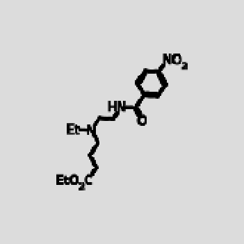 CCOC(=O)CCCN(CC)CCNC(=O)c1ccc([N+](=O)[O-])cc1